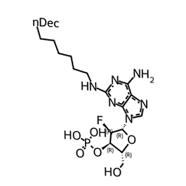 CCCCCCCCCCCCCCCCNc1nc(N)c2ncn([C@@H]3O[C@H](CO)[C@@H](OP(=O)(O)O)[C@H]3F)c2n1